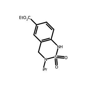 CCOC(=O)c1ccc2c(c1)CN(C(C)C)S(=O)(=O)N2